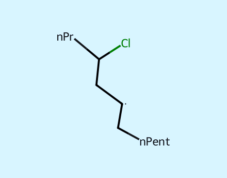 CCCCCC[CH]CC(Cl)CCC